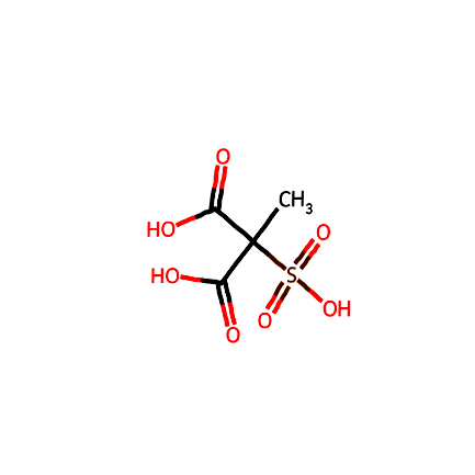 CC(C(=O)O)(C(=O)O)S(=O)(=O)O